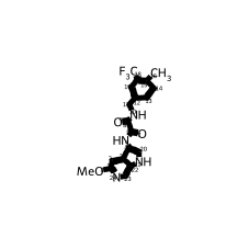 COc1cc2c(NC(=O)C(=O)NCc3ccc(C)c(C(F)(F)F)c3)c[nH]c2cn1